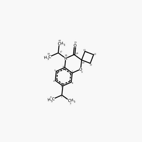 CC(C)c1ccc2c(c1)OC1(CCC1)C(=O)N2C(C)C